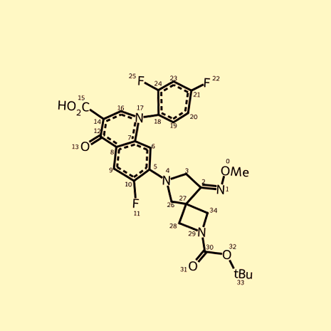 CON=C1CN(c2cc3c(cc2F)c(=O)c(C(=O)O)cn3-c2ccc(F)cc2F)CC12CN(C(=O)OC(C)(C)C)C2